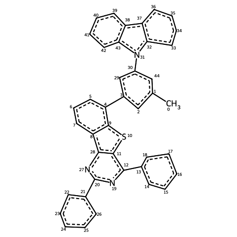 Cc1cc(-c2cccc3c2sc2c(-c4ccccc4)nc(-c4ccccc4)nc23)cc(-n2c3ccccc3c3ccccc32)c1